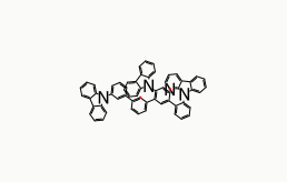 c1cc(-c2cccc(-n3c4ccccc4c4ccccc43)c2)cc(-c2cc(-c3ccccc3-n3c4ccccc4c4cccnc43)ccc2-n2c3ccccc3c3ccccc32)c1